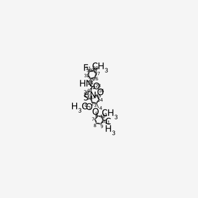 COc1c(COc2cccc(C)c2C)cc(=O)n2c1SC[C@H]2C(=O)Nc1ccc(C)c(F)c1